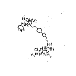 COC(=O)[C@H](Cc1ccncc1)NC(=O)CCc1ccc(-c2ccc(CCCCNC(=N)NC(=O)c3nc(Cl)c(N)nc3N)cc2)cc1